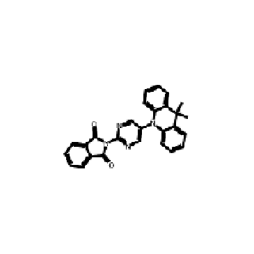 CC1(C)c2ccccc2N(c2cnc(N3C(=O)c4ccccc4C3=O)nc2)c2ccccc21